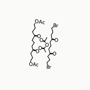 CC(=O)OC(C)=O.CC(=O)OCCCC(=O)CCCC(=O)CCCOC(C)=O.O=C(CCCBr)CCCC(=O)CCCBr